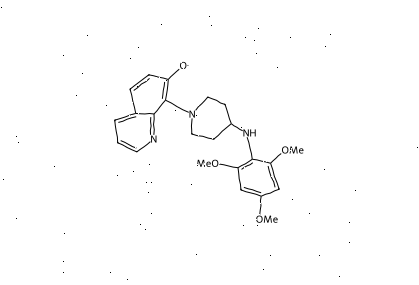 COc1cc(OC)c(NC2CCN(c3c([O])ccc4cccnc34)CC2)c(OC)c1